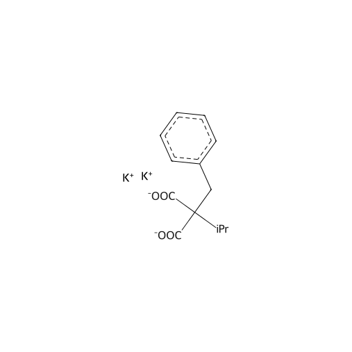 CC(C)C(Cc1ccccc1)(C(=O)[O-])C(=O)[O-].[K+].[K+]